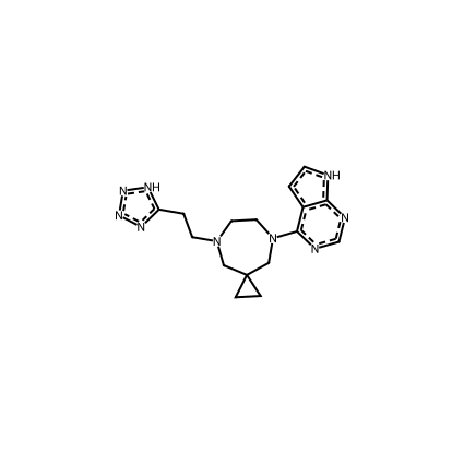 c1nc(N2CCN(CCc3nnn[nH]3)CC3(CC3)C2)c2cc[nH]c2n1